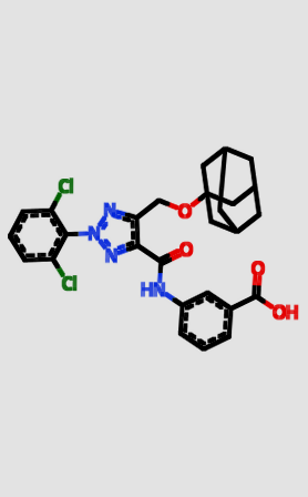 O=C(O)c1cccc(NC(=O)c2nn(-c3c(Cl)cccc3Cl)nc2COC23CC4CC(CC(C4)C2)C3)c1